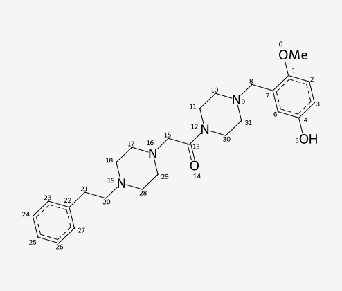 COc1ccc(O)cc1CN1CCN(C(=O)CN2CCN(CCc3ccccc3)CC2)CC1